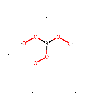 [O]OB(O[O])O[O]